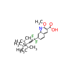 COc1nc2cc(C(F)(F)C#C[Si](C(C)C)(C(C)C)C(C)C)ccc2cc1C(=O)O